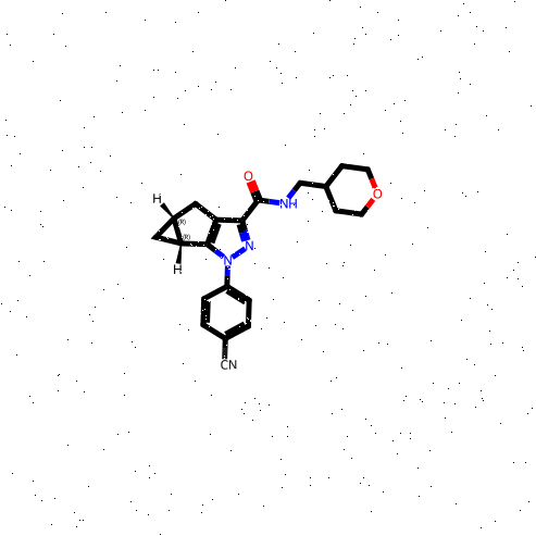 N#Cc1ccc(-n2nc(C(=O)NCC3CCOCC3)c3c2[C@@H]2C[C@@H]2C3)cc1